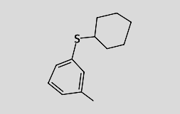 Cc1cccc(SC2CCCCC2)c1